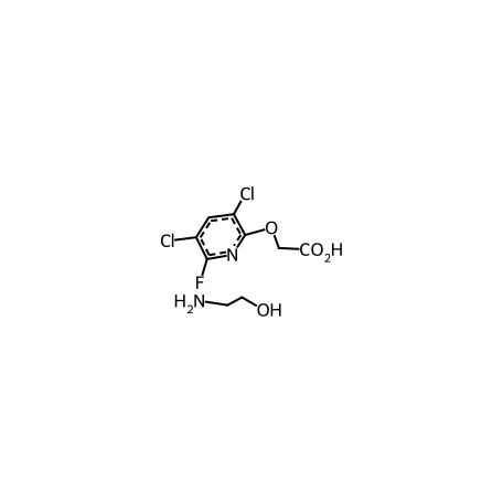 NCCO.O=C(O)COc1nc(F)c(Cl)cc1Cl